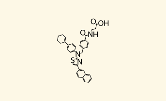 O=C(O)CCNC(=O)c1ccc(CN(c2ccc(C3=CCCCC3)cc2)c2nc(-c3ccc4ccccc4c3)cs2)cc1